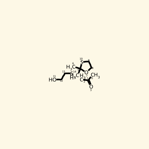 CC(C)=O.CC1(C)OCCS1.OCCS